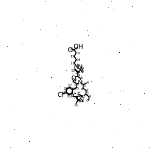 CCC(CCC(C)N1C[C@H](c2cn(CCCCC(=O)O)nn2)OC[C@@H]1Cc1ccc(Cl)cc1)c1nc(C)c(C)s1